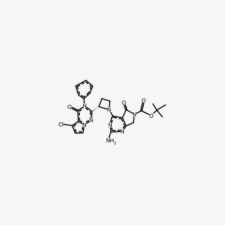 CC(C)(C)OC(=O)N1Cc2nc(N)nc(N3CC[C@H]3c3nn4ccc(Cl)c4c(=O)n3-c3ccccc3)c2C1=O